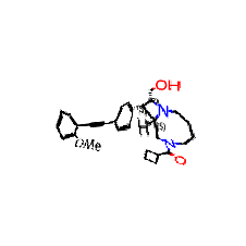 COc1ccccc1C#Cc1ccc([C@H]2[C@H]3CN(C(=O)C4CCC4)CCCCN3[C@H]2CO)cc1